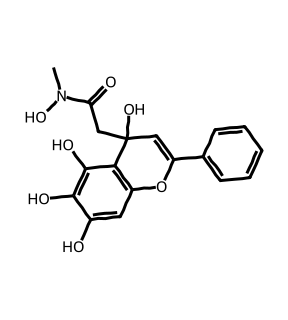 CN(O)C(=O)CC1(O)C=C(c2ccccc2)Oc2cc(O)c(O)c(O)c21